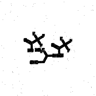 CC(=O)NC(CC=O)C(=O)O.O=C(O)C(F)(F)F.O=C(O)C(F)(F)F